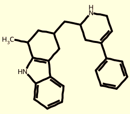 CC1CC(CC2CC(c3ccccc3)=CCN2)Cc2c1[nH]c1ccccc21